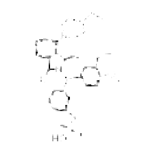 CCN1CCN(c2cccc3c2C(=O)N(C(c2cccc(NS(=O)(=O)O)c2)c2ccc(OC)c(OC)c2)C3=O)CC1